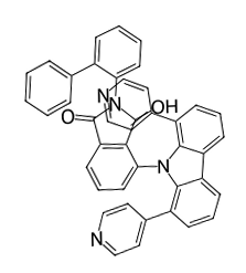 O=C1c2cccc(-n3c4c(-c5ccncc5)cccc4c4cccc(-c5ccncc5)c43)c2C(O)N1c1ccccc1-c1ccccc1